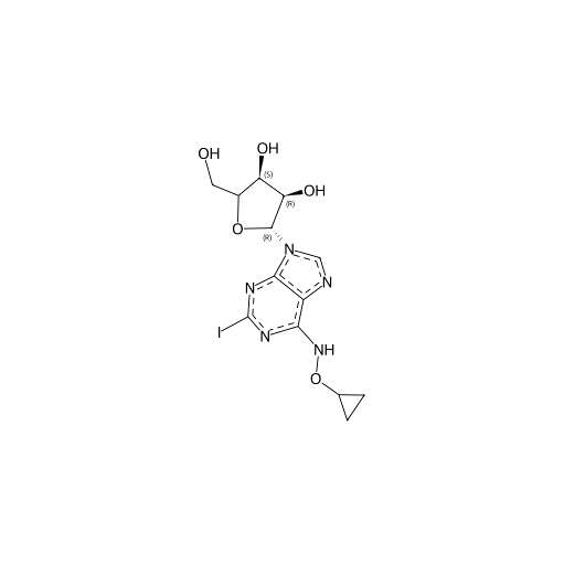 OCC1O[C@@H](n2cnc3c(NOC4CC4)nc(I)nc32)[C@H](O)[C@@H]1O